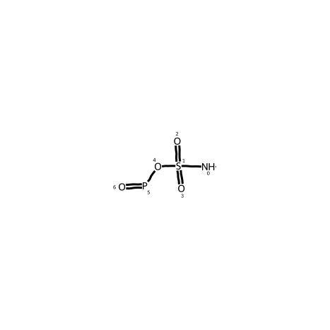 [NH]S(=O)(=O)OP=O